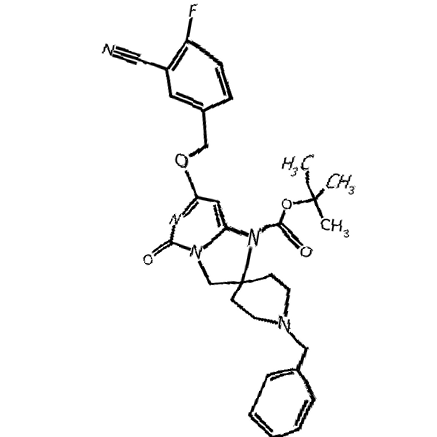 CC(C)(C)OC(=O)N1c2cc(OCc3ccc(F)c(C#N)c3)nc(=O)n2CC12CCN(Cc1ccccc1)CC2